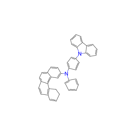 C1=Cc2ccc3ccc4ccc(N(c5ccccc5)c5ccc(-n6c7ccccc7c7ccccc76)cc5)cc4c3c2CC1